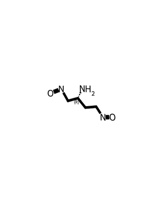 N[C@H](CCN=O)CN=O